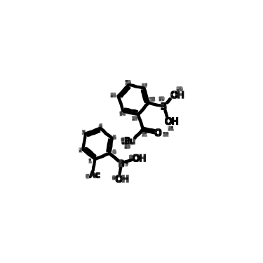 CC(=O)c1ccccc1B(O)O.CC(C)(C)C(=O)c1ccccc1B(O)O